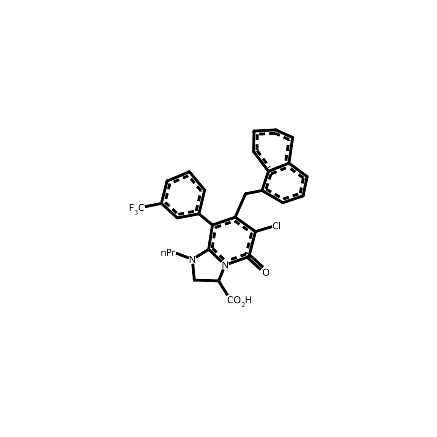 CCCN1CC(C(=O)O)n2c1c(-c1cccc(C(F)(F)F)c1)c(Cc1cccc3ccccc13)c(Cl)c2=O